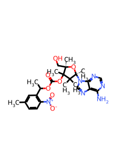 Cc1ccc([N+](=O)[O-])c(C(C)OC(=O)OC2(C)C(C)(C)[C@](C)(n3cnc4c(N)ncnc43)O[C@]2(C)CO)c1